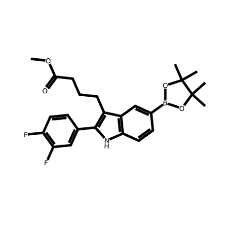 COC(=O)CCCc1c(-c2ccc(F)c(F)c2)[nH]c2ccc(B3OC(C)(C)C(C)(C)O3)cc12